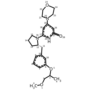 COCC(C)Oc1cccc(C[C@@H]2CCCN2c2cc(N3CCOCC3)cc(=O)[nH]2)c1